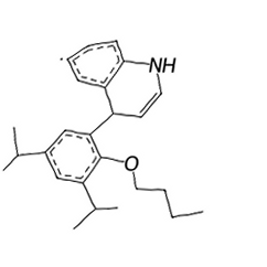 CCCCOc1c(C(C)C)cc(C(C)C)cc1C1C=CNc2cc[c]cc21